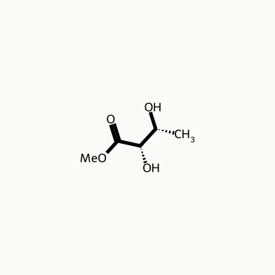 COC(=O)[C@@H](O)[C@@H](C)O